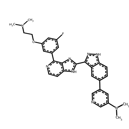 CN(C)CCOc1cc(F)cc(-c2nccc3[nH]c(-c4n[nH]c5ccc(-c6cncc(N(C)C)c6)cc45)nc23)c1